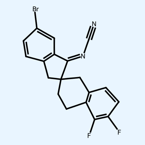 N#C/N=C1\c2cc(Br)ccc2CC12CCc1c(ccc(F)c1F)C2